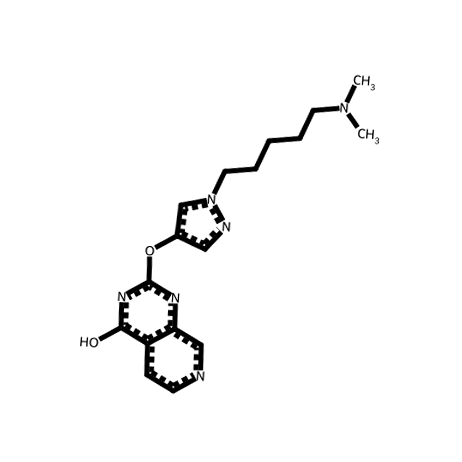 CN(C)CCCCCn1cc(Oc2nc(O)c3ccncc3n2)cn1